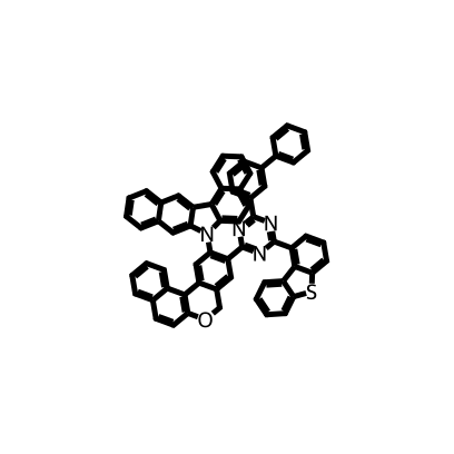 c1ccc(-c2cccc(-c3nc(-c4cc5c(cc4-n4c6cc7ccccc7cc6c6c7ccccc7ccc64)-c4c(ccc6ccccc46)OC5)nc(-c4cccc5sc6ccccc6c45)n3)c2)cc1